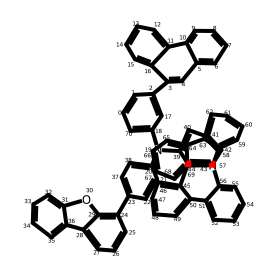 c1cc(-c2cc3ccccc3c3ccccc23)cc(N(c2ccc(-c3cccc4c3oc3ccccc34)cc2)c2ccccc2-c2ccccc2-c2ccccc2-n2c3ccccc3c3ccccc32)c1